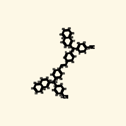 [C-]#[N+]c1ccc(N(c2ccc(/C=C/c3ccc(N(c4ccc(C#N)cc4)c4ccc5ccccc5c4)cc3)cc2)c2ccc3ccccc3c2)cc1